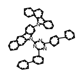 c1ccc(-c2ccc(-c3nc(-c4cccc(-c5ccccc5)c4)nc(-n4c5cc(-n6c7ccccc7c7ccc8ccccc8c76)ccc5c5cc6ccccc6cc54)n3)cc2)cc1